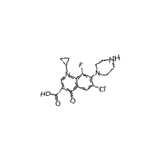 O=C(O)c1cn(C2CC2)c2c(F)c(N3CCNCC3)c(Cl)cc2c1=O